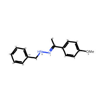 COc1ccc(C(C)=NNCc2ccccc2)cc1